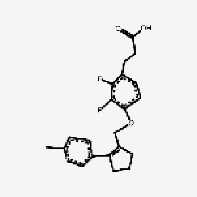 Cc1ccc(C2=C(COc3ccc(CCC(=O)O)c(F)c3F)CCC2)cn1